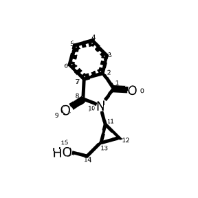 O=C1c2ccccc2C(=O)N1C1CC1CO